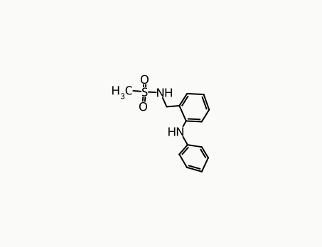 CS(=O)(=O)NCc1ccccc1Nc1ccccc1